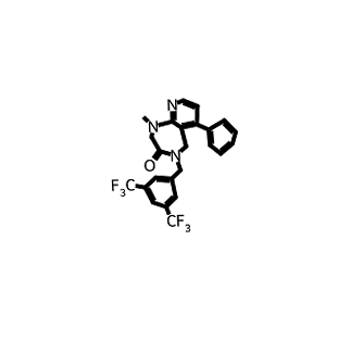 CN1CC(=O)N(Cc2cc(C(F)(F)F)cc(C(F)(F)F)c2)Cc2c(-c3ccccc3)ccnc21